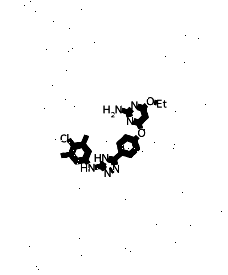 CCOc1cc(Oc2ccc(-c3nnc(Nc4cc(C)c(Cl)c(C)c4)[nH]3)cc2)nc(N)n1